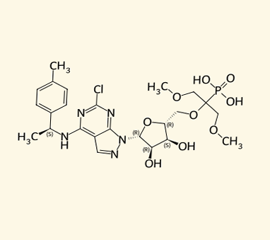 COCC(COC)(OC[C@H]1O[C@@H](n2ncc3c(N[C@@H](C)c4ccc(C)cc4)nc(Cl)nc32)[C@H](O)[C@@H]1O)P(=O)(O)O